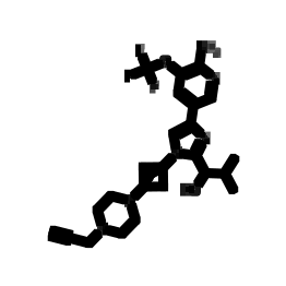 C#CCN1CCN(C23CC(n4cc(-c5cnc(N)c(OC(F)(F)F)c5)nc4C(O)C(C)C)(C2)C3)CC1